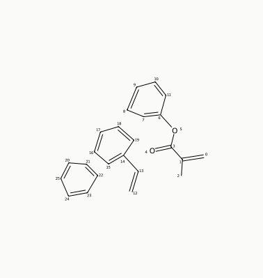 C=C(C)C(=O)Oc1ccccc1.C=Cc1ccccc1.c1ccccc1